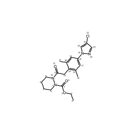 CCOC(=O)N1CCCCN1C(=O)Cc1c(C)cc(-n2cc(Cl)cn2)cc1C